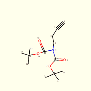 C#CCCN(C(=O)OC(C)(C)C)C(=O)OC(C)(C)C